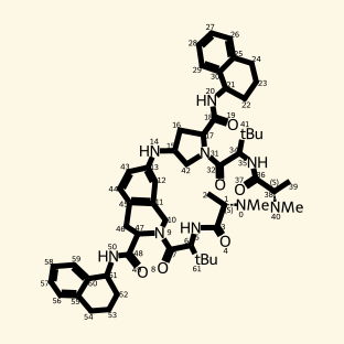 CN[C@@H](C)C(=O)NC(C(=O)N1Cc2cc(NC3CC(C(=O)NC4CCCc5ccccc54)N(C(=O)C(NC(=O)[C@H](C)NC)C(C)(C)C)C3)ccc2CC1C(=O)NC1CCCc2ccccc21)C(C)(C)C